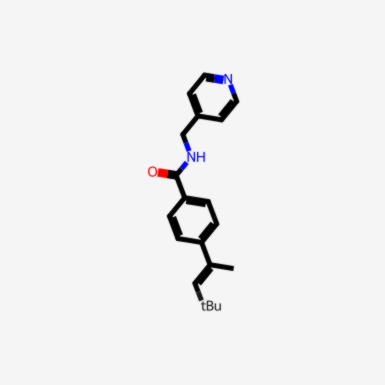 C/C(=C\C(C)(C)C)c1ccc(C(=O)NCc2ccncc2)cc1